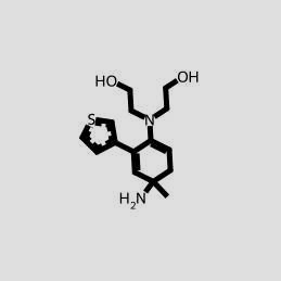 CC1(N)C=C(c2ccsc2)C(N(CCO)CCO)=CC1